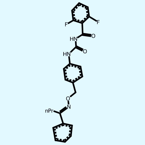 CCC/C(=N\OCc1ccc(NC(=O)NC(=O)c2c(F)cccc2F)cc1)c1ccccc1